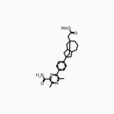 COC(=O)CC12CCCC3CC(c4ccc(-c5nc(C(N)=O)c(C)nc5C)cc4)(CC3C1)C2